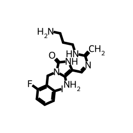 C=C(/N=C\c1[nH]c(=O)n(Cc2c(F)cccc2I)c1N)NCCCN